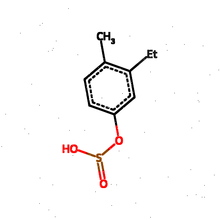 CCc1cc(OS(=O)O)ccc1C